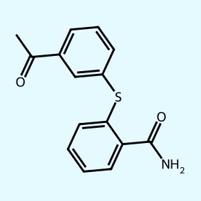 CC(=O)c1cccc(Sc2ccccc2C(N)=O)c1